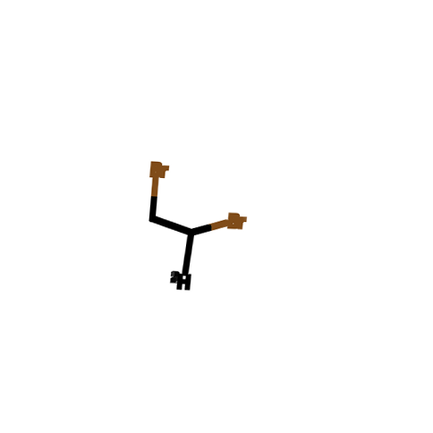 [2H]C(Br)CBr